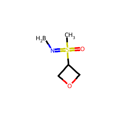 BN=S(C)(=O)C1COC1